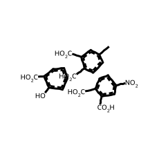 Cc1ccc(C(=O)O)c(C(=O)O)c1.O=C(O)c1ccc([N+](=O)[O-])cc1C(=O)O.O=C(O)c1ccccc1O